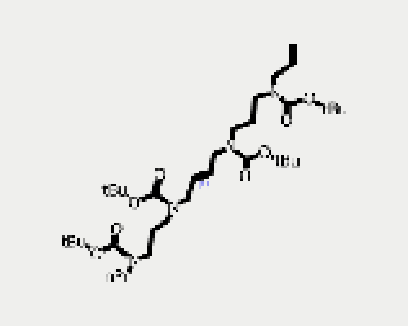 C=CCN(CCCN(C/C=C/CN(CCCN(CCC)C(=O)OC(C)(C)C)C(=O)OC(C)(C)C)C(=O)OC(C)(C)C)C(=O)OC(C)(C)C